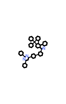 c1ccc(-c2cc(-c3ccc(-c4cccc(-c5nc6ccccc6c6c7c(ccc56)C(c5ccccc5)(c5ccccc5)c5ccccc5-7)c4)cc3)nc(-c3ccccc3)n2)cc1